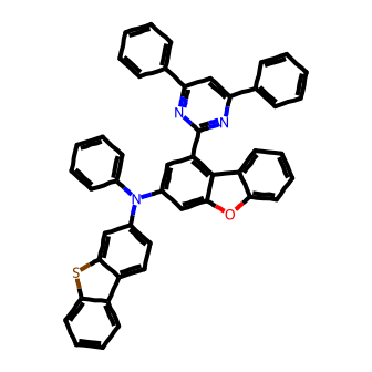 c1ccc(-c2cc(-c3ccccc3)nc(-c3cc(N(c4ccccc4)c4ccc5c(c4)sc4ccccc45)cc4oc5ccccc5c34)n2)cc1